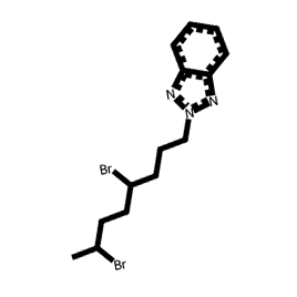 CC(Br)CCC(Br)CCCn1nc2ccccc2n1